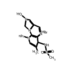 Br.CCCN1C=C(C)C(NS(C)(=O)=O)C2=C1N1CN(O)C=C1C=N2